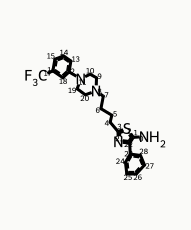 Nc1sc(CCCCN2CCN(c3cccc(C(F)(F)F)c3)CC2)nc1-c1ccccc1